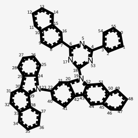 c1ccc(-c2nc(-c3ccc4ccccc4c3)nc(-n3c4cc(-n5c6ccccc6c6ccc7ccccc7c65)ccc4c4cc5ccccc5cc43)n2)cc1